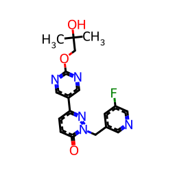 CC(C)(O)COc1ncc(-c2ccc(=O)n(Cc3cncc(F)c3)n2)cn1